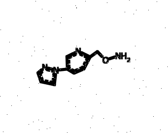 NOCc1ccc(-n2cccn2)cn1